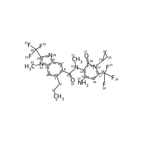 CCCc1cc2c(cc1C(=O)N(C)c1c(N)cc(C(F)(F)F)n(C3CC3)c1=O)nc(C(F)(F)F)n2C